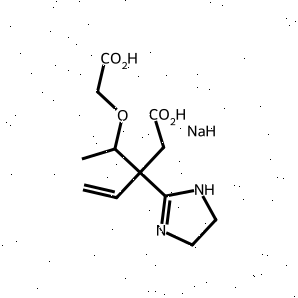 C=CC(CC(=O)O)(C1=NCCN1)C(C)OCC(=O)O.[NaH]